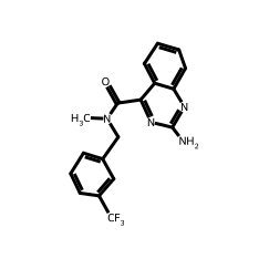 CN(Cc1cccc(C(F)(F)F)c1)C(=O)c1nc(N)nc2ccccc12